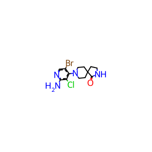 Nc1ncc(Br)c(N2CCC3(CCNC3=O)CC2)c1Cl